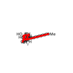 COCCOCCOCCOCCOCCOCCOCCOCCOCCOCC(=O)NCCCC[C@H](NC(=O)CCCN1C(=O)C=CC1=O)C(=O)N[C@H](C(=O)N[C@@H](CCCNC(N)=O)C(=O)Nc1cc(C[C@H](N)C[C@H](C)C(=O)O)ccc1O)C(C)C